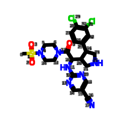 CS(=O)(=O)N1CCN(C(=O)C(Nc2ncc(C#N)cn2)C2CNCC2c2ccc(Cl)c(Cl)c2)CC1